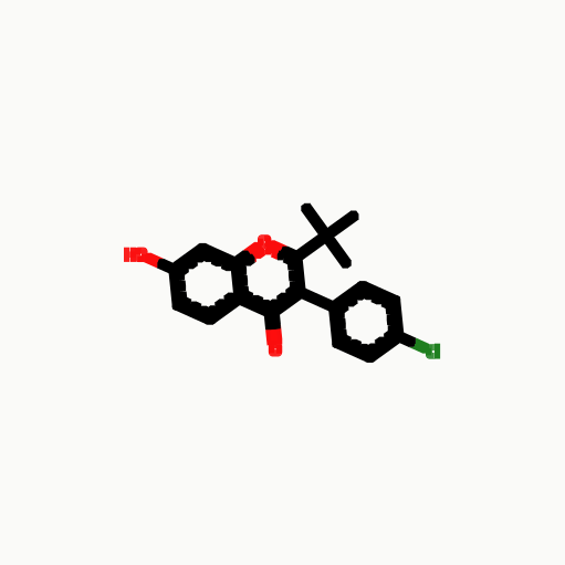 CC(C)(C)c1oc2cc(O)ccc2c(=O)c1-c1ccc(Cl)cc1